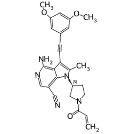 C=CC(=O)N1CC[C@H](n2c(C)c(C#Cc3cc(OC)cc(OC)c3)c3c(N)ncc(C#N)c32)C1